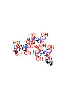 N.NC(CC(=O)O)C(CC(=O)O)(CC(=O)O)NCC(=O)O.NC(CC(=O)O)C(CC(=O)O)(CC(=O)O)NCC(=O)O.NC(CC(=O)O)C(CC(=O)O)(CC(=O)O)NCC(=O)O.[Fe].[Fe].[Fe].[Fe]